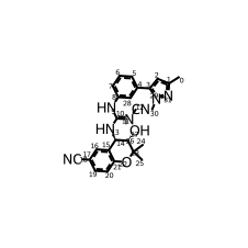 Cc1cc(-c2cccc(NC(=NC#N)N[C@@H]3c4cc(C#N)ccc4OC(C)(C)[C@H]3O)c2)n(C)n1